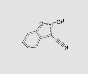 N#Cc1c(O)oc2ccccc12